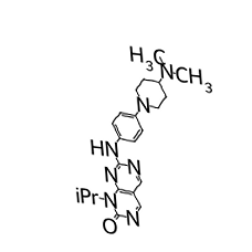 CC(C)n1c(=O)ncc2cnc(Nc3ccc(N4CCC(N(C)C)CC4)cc3)nc21